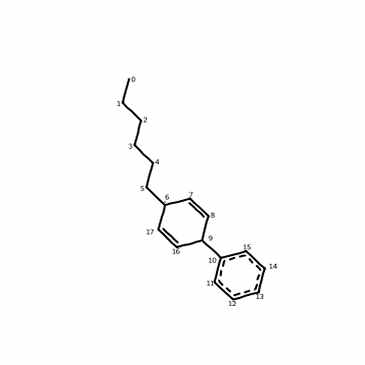 CCCCCC[C]1C=CC(c2ccccc2)C=C1